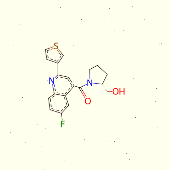 O=C(c1cc(-c2ccsc2)nc2ccc(F)cc12)N1CCC[C@@H]1CO